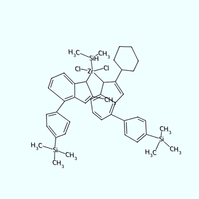 CC1=Cc2c(-c3ccc([Si](C)(C)C)cc3)cccc2[CH]1[Zr]([Cl])([Cl])([CH]1C(C2CCCCC2)=Cc2c(-c3ccc([Si](C)(C)C)cc3)cccc21)[SiH](C)C